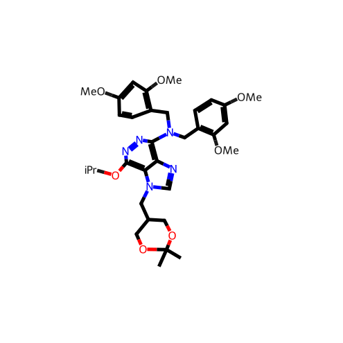 COc1ccc(CN(Cc2ccc(OC)cc2OC)c2nnc(OC(C)C)c3c2ncn3CC2COC(C)(C)OC2)c(OC)c1